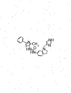 Cc1nc(-c2ccccc2)sc1NC(=O)Nc1ccc2c(c1)N(Cc1c[nH]cn1)CC2